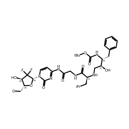 CC(C)C[C@H](NC[C@H](O)[C@@H](Cc1ccccc1)NC(=O)OC(C)(C)C)C(=O)NCC(=O)Nc1ccn([C@@H]2O[C@H](C[O])[C@@H](O)C2(F)F)c(=O)n1